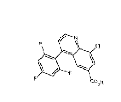 O=C(O)c1cc(Cl)c2nccc(-c3c(F)cc(F)cc3F)c2c1